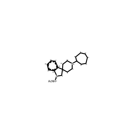 CC(=O)NN1CC2(CCN(C3CCCCCC3)CC2)c2ccccc21